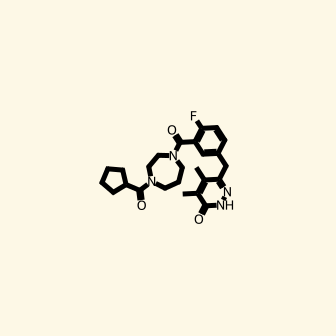 Cc1c(Cc2ccc(F)c(C(=O)N3CCCN(C(=O)C4CCCC4)CC3)c2)n[nH]c(=O)c1C